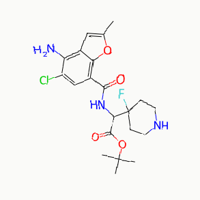 Cc1cc2c(N)c(Cl)cc(C(=O)NC(C(=O)OC(C)(C)C)C3(F)CCNCC3)c2o1